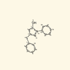 Oc1cc(Sc2ccccc2)nn1-c1ccccc1